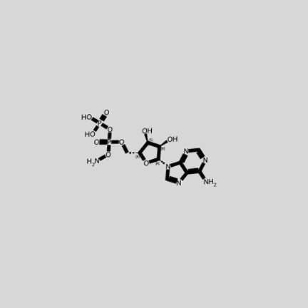 NOP(=O)(OC[C@H]1O[C@@H](n2cnc3c(N)ncnc32)[C@H](O)[C@@H]1O)OP(=O)(O)O